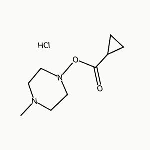 CN1CCN(OC(=O)C2CC2)CC1.Cl